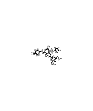 CCOC(=O)CN(CCOC)C(=O)CC1C(=O)N(CCc2ccc(Cl)cc2)CC(=O)N1CCc1cccs1